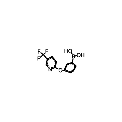 OB(O)c1cccc(Oc2ccc(C(F)(F)F)cn2)c1